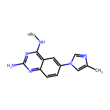 CCCCNc1nc(N)nc2ccc(-n3cnc(C)c3)cc12